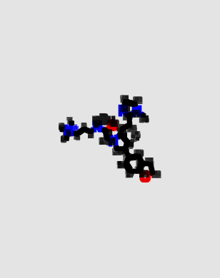 CCCCN(CCC[N+](C)(C)C)C(=O)CN1C[C@H](c2ccc3c(c2)CCO3)[C@@H](C)[C@@H]1CCc1nccn1C